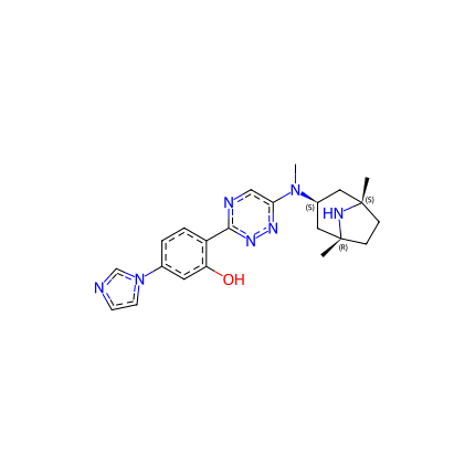 CN(c1cnc(-c2ccc(-n3ccnc3)cc2O)nn1)[C@H]1C[C@]2(C)CC[C@](C)(C1)N2